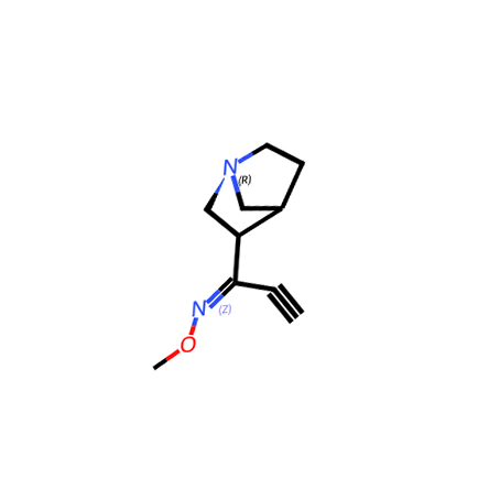 C#C/C(=N\OC)C1C[N@@]2CCC1C2